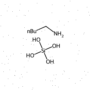 CCCCCN.O[Si](O)(O)O